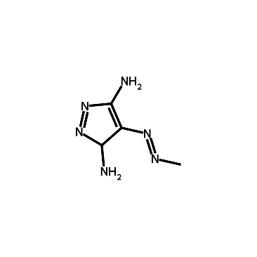 CN=NC1=C(N)N=NC1N